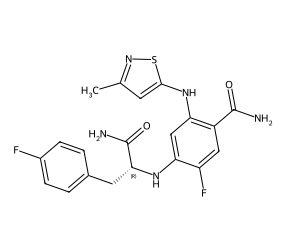 Cc1cc(Nc2cc(N[C@H](Cc3ccc(F)cc3)C(N)=O)c(F)cc2C(N)=O)sn1